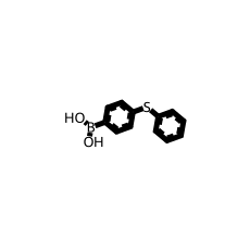 OB(O)c1ccc(Sc2ccccc2)cc1